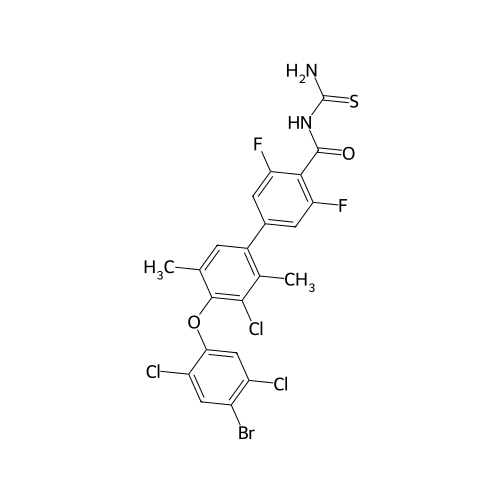 Cc1cc(-c2cc(F)c(C(=O)NC(N)=S)c(F)c2)c(C)c(Cl)c1Oc1cc(Cl)c(Br)cc1Cl